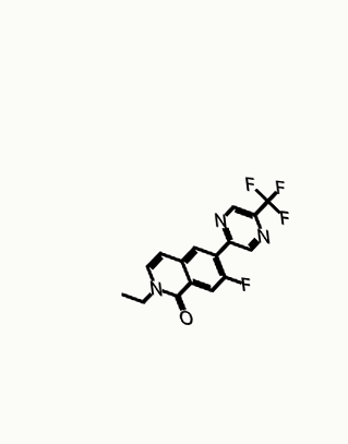 CCn1ccc2cc(-c3cnc(C(F)(F)F)cn3)c(F)cc2c1=O